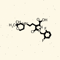 CC1(C)CC(NCCc2c(C(=O)O)nn(Cc3c(F)cccc3F)c2Cl)CCO1